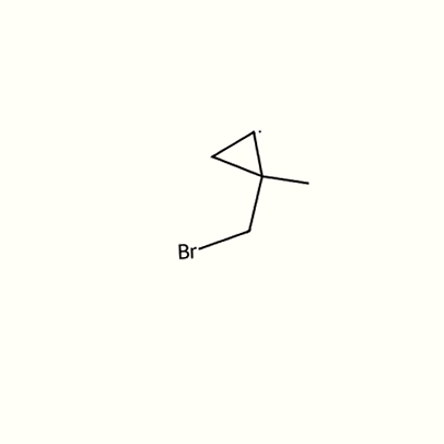 CC1(CBr)[CH]C1